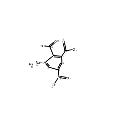 O=C([O-])c1cc([N+](=O)[O-])cnc1C(=O)[O-].[Na+].[Na+]